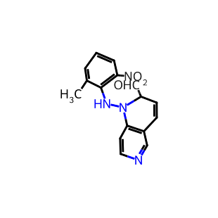 Cc1cccc([N+](=O)[O-])c1NN1c2ccncc2C=CC1C=O